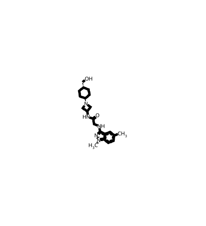 Cc1ccc2c(c1)c(NCC(=O)NC1CN([C@H]3CC[C@@H](CO)CC3)C1)nn2C